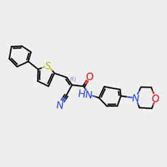 N#C/C(=C\c1ccc(-c2ccccc2)s1)C(=O)Nc1ccc(N2CCOCC2)cc1